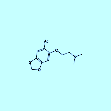 CC(=O)c1cc2c(cc1OCCN(C)C)OCS2